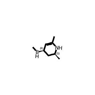 CB[C@H]1C=C(C)N[C@@H](C)C1